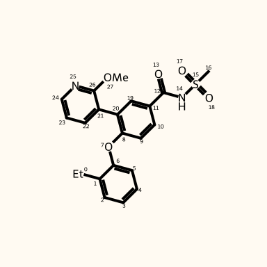 CCc1ccccc1Oc1ccc(C(=O)NS(C)(=O)=O)cc1-c1cccnc1OC